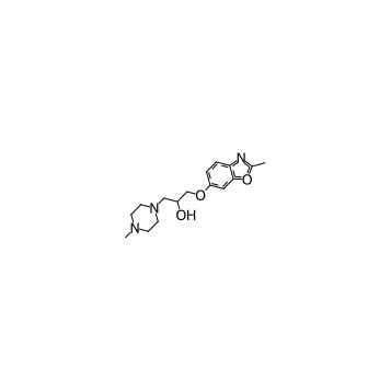 Cc1nc2ccc(OCC(O)CN3CCN(C)CC3)cc2o1